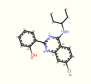 CCC(CC)Nc1nc(-c2ccccc2O)nc2cc(Cl)ccc12